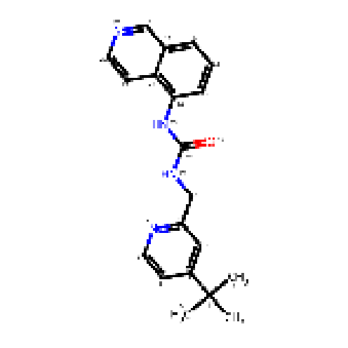 CC(C)(C)c1ccnc(CNC(=O)Nc2cccc3cnccc23)c1